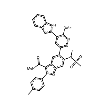 CNC(=O)c1c(-c2ccc(C)cc2)oc2cc(N(C)S(C)(=O)=O)c(-c3cc(-c4cc5ccccc5[nH]4)c(OC)nn3)cc12